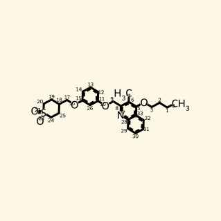 CCCCOc1c(C)c(COc2cccc(OCC3CCS(=O)(=O)CC3)c2)nc2ccccc12